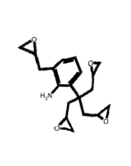 Nc1c(CC2CO2)cccc1C(CC1CO1)(CC1CO1)CC1CO1